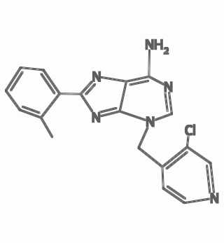 Cc1ccccc1-c1nc2c(N)ncn(Cc3ccncc3Cl)c-2n1